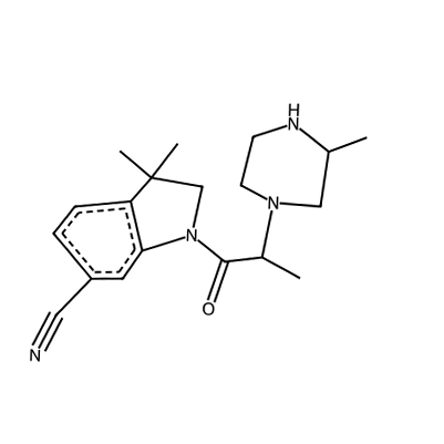 CC1CN(C(C)C(=O)N2CC(C)(C)c3ccc(C#N)cc32)CCN1